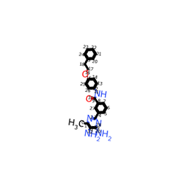 Cc1nc(-c2cccc(C(=O)Nc3ccc(OCCc4ccccc4)cc3)c2)nc(N)c1N